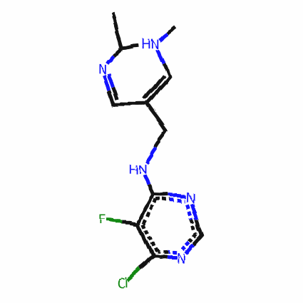 CN/C=C(\C=N/C(C)C)CNc1ncnc(Cl)c1F